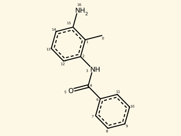 Cc1c(NC(=O)c2ccccc2)[c]ccc1N